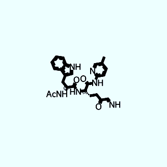 CC(=O)N[C@@H](Cc1c[nH]c2ccccc12)C(=O)N[C@@H](CCC(=O)C=N)C(=O)Nc1ccc(C)cn1